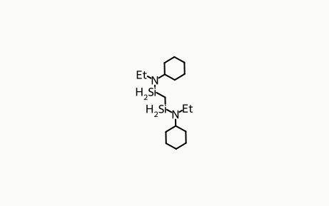 CCN([SiH2]C[SiH2]N(CC)C1CCCCC1)C1CCCCC1